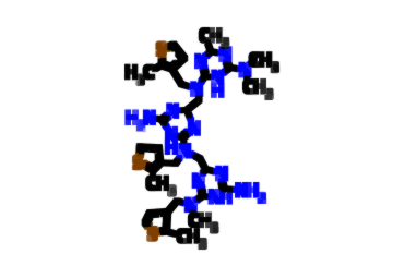 Cc1sccc1CN(C)C1=NC(CN(Cc2ccsc2C)C2=NC(CN(Cc3ccsc3C)C3=NC(C)N=C(N(C)C)N3)N=C(N)N2)N=C(N)N1